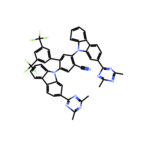 Cc1nc(C)nc(-c2ccc3c4ccccc4n(-c4cc(-c5cc(C(F)(F)F)cc(C(F)(F)F)c5)c(-n5c6ccccc6c6ccc(-c7nc(C)nc(C)n7)cc65)cc4C#N)c3c2)n1